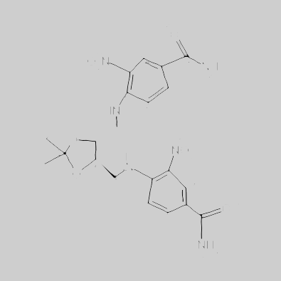 CC1(C)O[C@H](CNc2ccc(C(N)=O)cc2[N+](=O)[O-])[C@@H](CNc2ccc(C(N)=O)cc2[N+](=O)[O-])O1